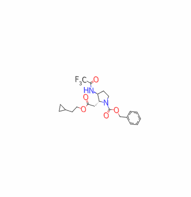 O=C(C[C@@H]1[C@@H](NC(=O)C(F)(F)F)CCN1C(=O)OCc1ccccc1)OCCC1CC1